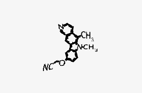 Cc1c2ccncc2cc2c3cc(OCC#N)ccc3n(C)c12